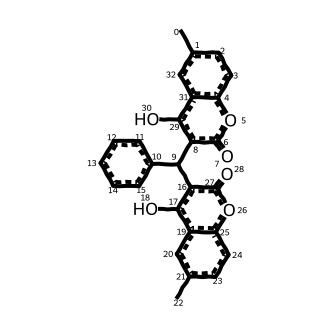 Cc1ccc2oc(=O)c(C(c3ccccc3)c3c(O)c4cc(C)ccc4oc3=O)c(O)c2c1